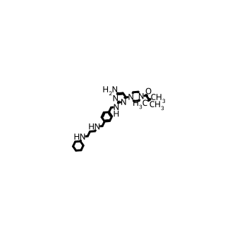 CC(C)(C)C(=O)N1CCN(c2cc(N)nc(NCc3ccc(CNCCCNC4CCCCC4)cc3)n2)CC1